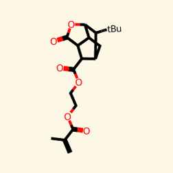 C=C(C)C(=O)OCCOC(=O)C1C2CC3C(OC(=O)C31)C2C(C)(C)C